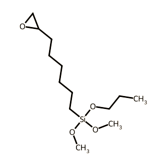 CCCO[Si](CCCCCCC1CO1)(OC)OC